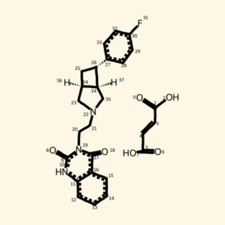 O=C(O)/C=C/C(=O)O.O=c1[nH]c2ccccc2c(=O)n1CCN1C[C@H]2C[C@H](c3ccc(F)cc3)[C@H]2C1